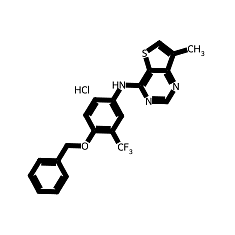 Cc1csc2c(Nc3ccc(OCc4ccccc4)c(C(F)(F)F)c3)ncnc12.Cl